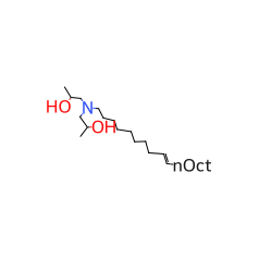 CCCCCCCCC=CCCCCCCCCN(CC(C)O)CC(C)O